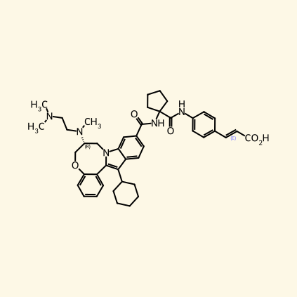 CN(C)CCN(C)[C@H]1COc2ccccc2-c2c(C3CCCCC3)c3ccc(C(=O)NC4(C(=O)Nc5ccc(/C=C/C(=O)O)cc5)CCCC4)cc3n2C1